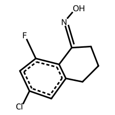 ON=C1CCCc2cc(Cl)cc(F)c21